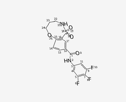 O=C(Nc1cc(F)c(F)c(F)c1)c1ccc2c(c1)S(=O)(=O)NCCCO2